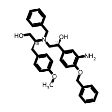 COc1ccc(C[C@@H](CO)N(Cc2ccccc2)C[C@@H](O)c2ccc(OCc3ccccc3)c(N)c2)cc1